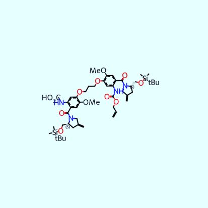 C=CCOC(=O)Nc1cc(OCCCOc2cc(NC(=O)O)c(C(=O)N3CC(=C)C[C@H]3CO[Si](C)(C)C(C)(C)C)cc2OC)c(OC)cc1C(=O)N1CC(=C)C[C@H]1CO[Si](C)(C)C(C)(C)C